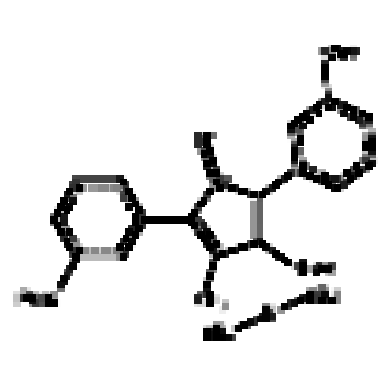 CCCCCCCCc1cccc(C2=C(CCCCCC)C(C)=C(c3cccc(CCCCC)c3)[N+]2=[N-])c1.CCC[CH2][Ni][CH2]CCC